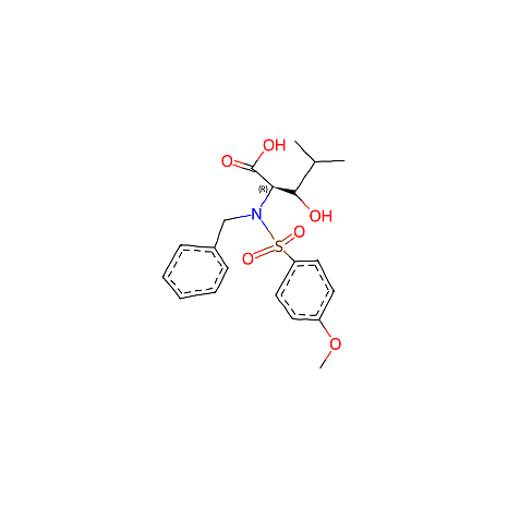 COc1ccc(S(=O)(=O)N(Cc2ccccc2)[C@@H](C(=O)O)C(O)C(C)C)cc1